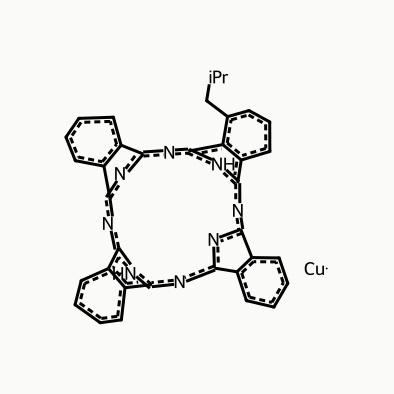 CC(C)Cc1cccc2c3nc4nc(nc5[nH]c(nc6nc(nc([nH]3)c12)-c1ccccc1-6)c1ccccc51)-c1ccccc1-4.[Cu]